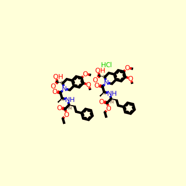 CCOC(=O)[C@H](CCc1ccccc1)N[C@@H](C)C(=O)N1Cc2cc(OC)c(OC)cc2C[C@H]1C(=O)O.CCOC(=O)[C@H](CCc1ccccc1)N[C@@H](C)C(=O)N1Cc2cc(OC)c(OC)cc2C[C@H]1C(=O)O.Cl